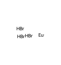 Br.Br.Br.[Eu]